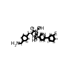 NCC1CCC(C[C@H](NS(=O)(=O)c2ccc(-c3cccc(F)c3)nc2)C(=O)NO)CC1